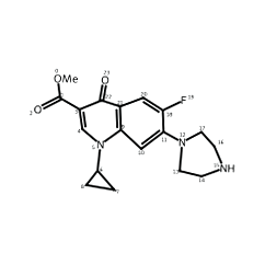 COC(=O)c1cn(C2CC2)c2cc(N3CCNCC3)c(F)cc2c1=O